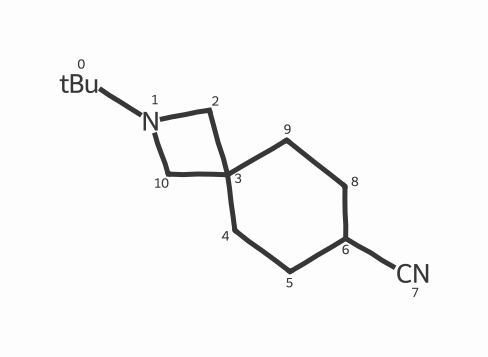 CC(C)(C)N1CC2(CCC(C#N)CC2)C1